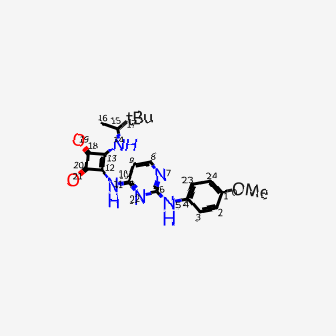 COc1ccc(Nc2nccc(Nc3c(NC(C)C(C)(C)C)c(=O)c3=O)n2)cc1